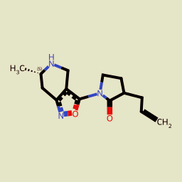 C=CCC1CCN(c2onc3c2CN[C@@H](C)C3)C1=O